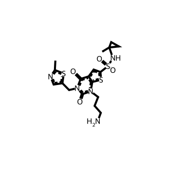 Cc1ncc(Cn2c(=O)c3cc(S(=O)(=O)NC4(C)CC4)sc3n(CCCN)c2=O)s1